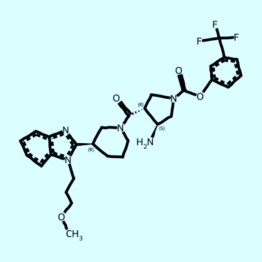 COCCCn1c([C@@H]2CCCN(C(=O)[C@@H]3CN(C(=O)Oc4cccc(C(F)(F)F)c4)C[C@H]3N)C2)nc2ccccc21